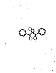 O=C(c1ccccc1)[N+]1(C(=O)c2ccccc2)CO1